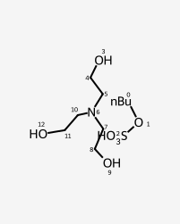 CCCCOS(=O)(=O)O.OCCN(CCO)CCO